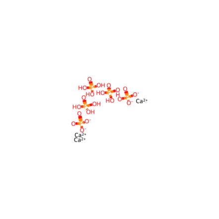 O=P(O)(O)O.O=P(O)(O)O.O=P(O)(O)O.O=P([O-])([O-])[O-].O=P([O-])([O-])[O-].[Ca+2].[Ca+2].[Ca+2]